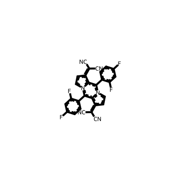 N#CC(C#N)=c1ccn2c(-c3ccc(F)cc3F)c3c(=C(C#N)C#N)ccn3c(-c3ccc(F)cc3F)c12